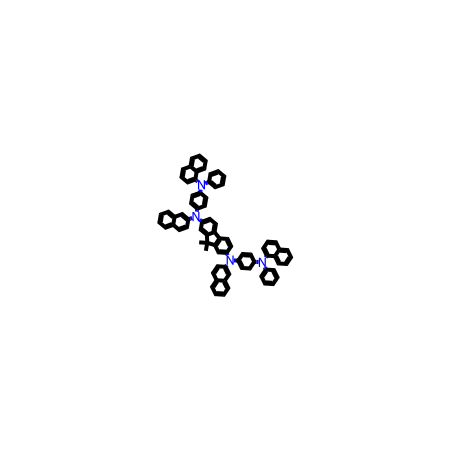 CC1(C)c2cc(N(C3=CCC(N(c4ccccc4)c4cccc5ccccc45)C=C3)c3ccc4ccccc4c3)ccc2-c2ccc(N(c3ccc(N(c4ccccc4)c4cccc5ccccc45)cc3)c3ccc4ccccc4c3)cc21